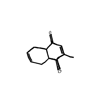 CC1=CC(=O)C2CC=CCC2C1=O